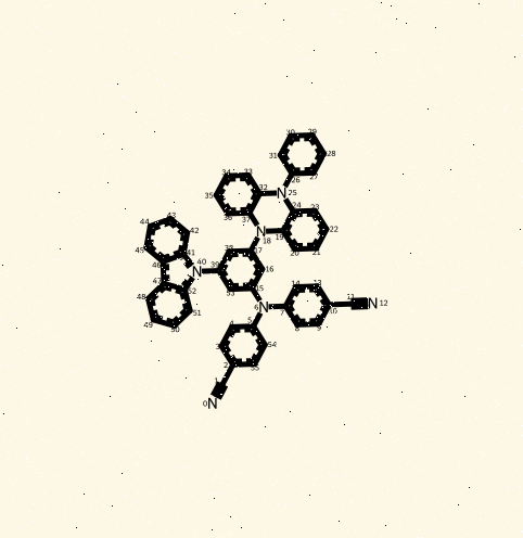 N#Cc1ccc(N(c2ccc(C#N)cc2)c2cc(N3c4ccccc4N(c4ccccc4)c4ccccc43)cc(-n3c4ccccc4c4ccccc43)c2)cc1